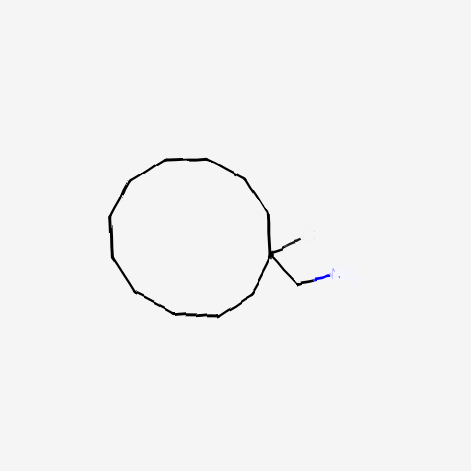 CCC1(CN)CCCCCCCCCCC1